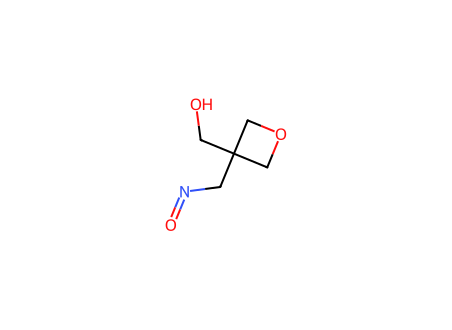 O=NCC1(CO)COC1